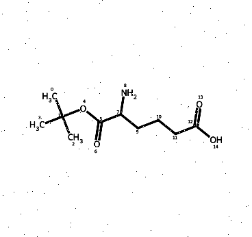 CC(C)(C)OC(=O)C(N)CCCC(=O)O